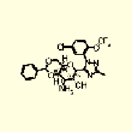 Cc1nc([C@@H]2O[C@@H]3COC(c4ccccc4)O[C@@H]3[C@H](N)[C@H]2O)n(-c2cc(Cl)ccc2OC(F)(F)F)n1